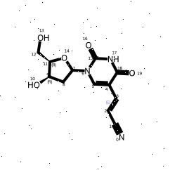 N#C/C=C/c1cn(C2C[C@@H](O)[C@@H](CO)O2)c(=O)[nH]c1=O